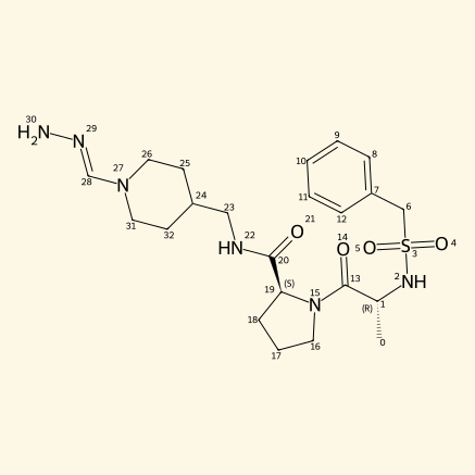 C[C@@H](NS(=O)(=O)Cc1ccccc1)C(=O)N1CCC[C@H]1C(=O)NCC1CCN(C=NN)CC1